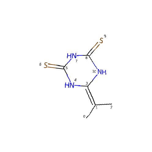 CC(C)=C1NC(=S)NC(=S)N1